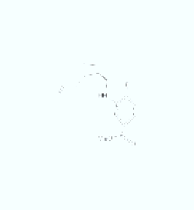 C=CC[C@@H]1CC[C@H]1CNc1cc(C(=O)OC)ccc1F